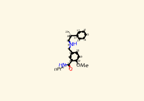 CCCNC(=O)c1cc(CNC[C@H](C)c2ccccc2)ccc1OC